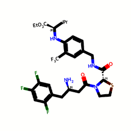 CCOC(=O)[C@H](Nc1ccc(CNC(=O)[C@@H]2SCCN2C(=O)C[C@H](N)Cc2cc(F)c(F)cc2F)cc1C(F)(F)F)C(C)C